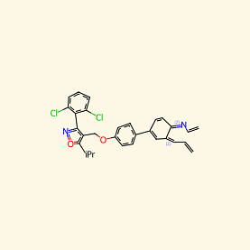 C=C/C=C1/C=C(c2ccc(OCc3c(-c4c(Cl)cccc4Cl)noc3C(C)C)cc2)C=C/C1=N/C=C